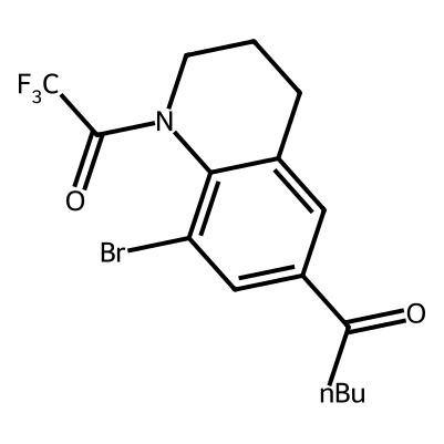 CCCCC(=O)c1cc(Br)c2c(c1)CCCN2C(=O)C(F)(F)F